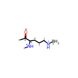 BNCCCC(NC)C(C)=O